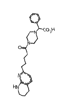 O=C(O)C(c1ccccc1)N1CCN(C(=O)CCCCc2ccc3c(n2)NCCC3)CC1